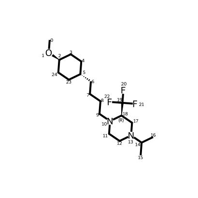 CO[C@H]1CC[C@H](CCCCN2CCN(C(C)C)C[C@@H]2C(F)(F)F)CC1